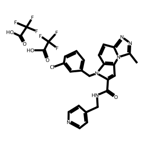 Cc1nnc2ccc3c(cc(C(=O)NCc4ccncc4)n3Cc3cccc(Cl)c3)n12.O=C(O)C(F)(F)F.O=C(O)C(F)(F)F